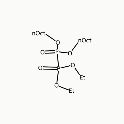 CCCCCCCCOP(=O)(OCCCCCCCC)P(=O)(OCC)OCC